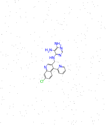 C[C@@H](Nc1ncnc(N)c1N)c1cnc2cc(Cl)ccc2c1-c1ccccn1